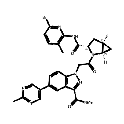 CNC(=O)c1nn(CC(=O)N2[C@H](C(=O)Nc3nc(Br)ccc3C)C[C@@]3(C)C[C@@H]23)c2ccc(-c3cnc(C)nc3)cc12